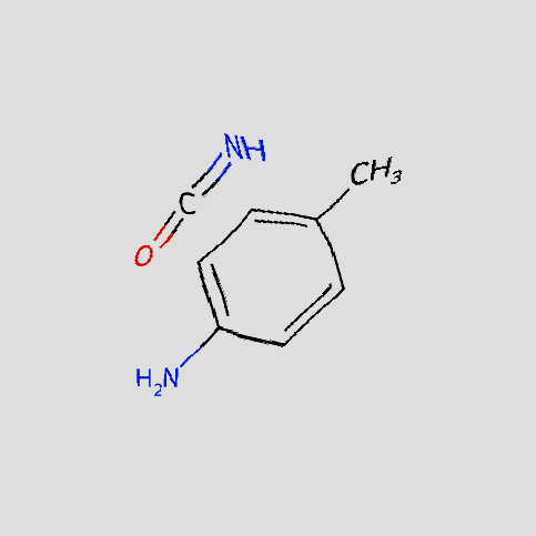 Cc1ccc(N)cc1.N=C=O